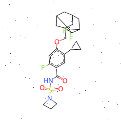 O=C(NS(=O)(=O)N1CCC1)c1cc(C2CC2)c(OCC23CC4CC(C2)C(F)(F)C(C4)C3)cc1F